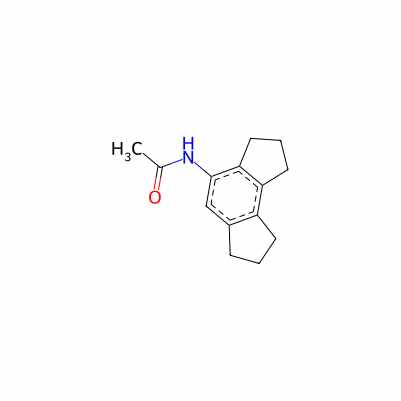 CC(=O)Nc1cc2c(c3c1CCC3)CCC2